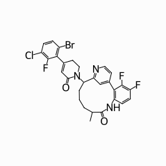 CC1CCCC(N2CCC(c3c(Br)ccc(Cl)c3F)=CC2=O)c2cc(ccn2)-c2c(ccc(F)c2F)NC1=O